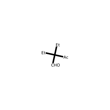 CCC(C=O)(CC)C(C)=O